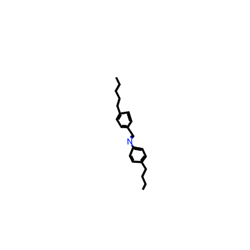 CCCCCc1ccc(/C=N/c2ccc(CCCC)cc2)cc1